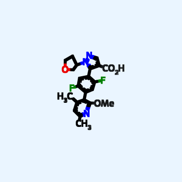 COc1nc(C)cc(C)c1-c1cc(F)c(-c2c(C(=O)O)cnn2C2CCOC2)cc1F